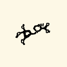 COC(=O)C1CN(Cc2cc(OC)c(OC)c(OC)c2)CCN1